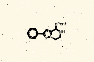 CCCCCC1NCCn2nc(-c3ccccc3)cc21